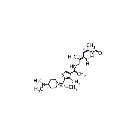 C=C(NC/C(C)=C(C)/C=C(/C)NC=O)c1csc([C@H](CC)N2CCC(N(C)C)CC2)c1C